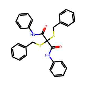 O=C(Nc1ccccc1)C(SCc1ccccc1)(SCc1ccccc1)C(=O)Nc1ccccc1